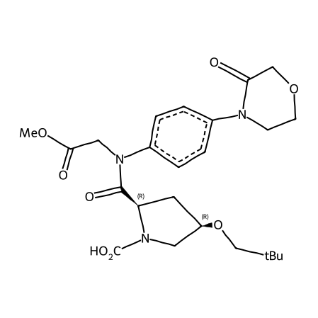 COC(=O)CN(C(=O)[C@H]1C[C@@H](OCC(C)(C)C)CN1C(=O)O)c1ccc(N2CCOCC2=O)cc1